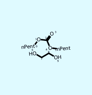 CCCCCOC(=O)OCCCCC.OCCO